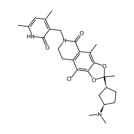 Cc1cc(C)c(CN2CCc3c(Cl)c4c(c(C)c3C2=O)OC(C)([C@H]2CC[C@@H](N(C)C)C2)O4)c(=O)[nH]1